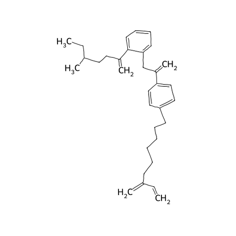 C=CC(=C)CCCCCCc1ccc(C(=C)Cc2ccccc2C(=C)CCC(C)CC)cc1